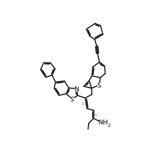 CC/C(N)=C\C=C(/CC12C=C1C1=CC(C#Cc3ccccc3)=CCC1S2)c1nc2cc(-c3ccccc3)ccc2s1